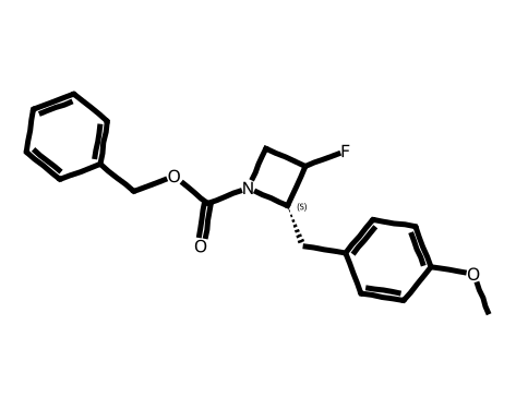 COc1ccc(C[C@H]2C(F)CN2C(=O)OCc2ccccc2)cc1